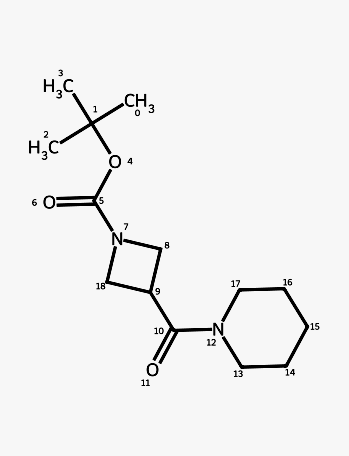 CC(C)(C)OC(=O)N1CC(C(=O)N2CCCCC2)C1